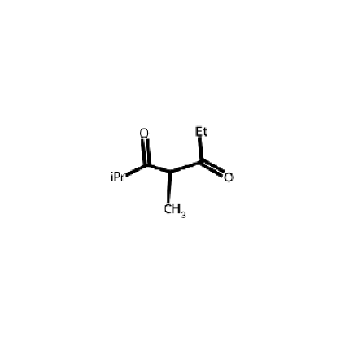 CCC(=O)C(C)C(=O)C(C)C